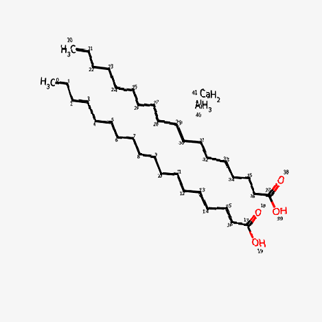 CCCCCCCCCCCCCCCCCC(=O)O.CCCCCCCCCCCCCCCCCC(=O)O.[AlH3].[CaH2]